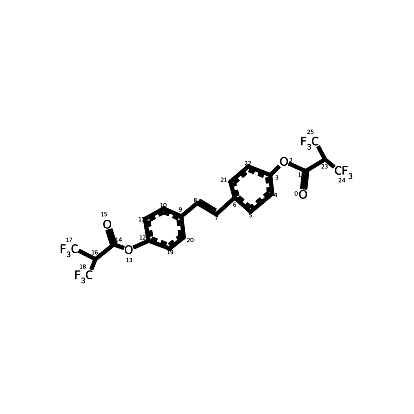 O=C(Oc1ccc(/C=C/c2ccc(OC(=O)C(C(F)(F)F)C(F)(F)F)cc2)cc1)C(C(F)(F)F)C(F)(F)F